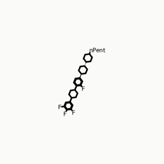 CCCCCC1CCC([C@H]2CC[C@H](c3ccc(C4CCC(c5cc(F)c(F)c(F)c5)CC4)c(F)c3)CC2)CC1